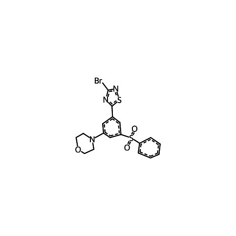 O=S(=O)(c1ccccc1)c1cc(-c2nc(Br)ns2)cc(N2CCOCC2)c1